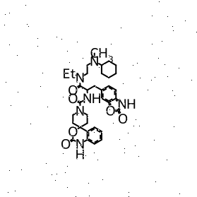 CCN(CCN(C)C1CCCCC1)C(=O)C(Cc1ccc2[nH]c(=O)oc2c1)NC(=O)N1CCC2(CC1)OC(=O)Nc1ccccc12